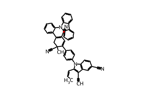 C#Cc1c(/C=C\C)n(-c2ccc(C3=CC(C#N)=C(c4ccccc4-n4c5ccccc5c5ccccc54)CC3(C)C#N)cc2)c2ccc(C#N)cc12